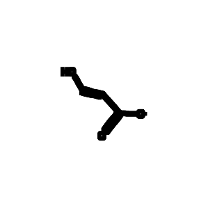 [O]C(=O)C=CO